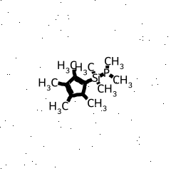 CC1=C(C)C(C)C([Si](C)(C)P(C)C)=C1C